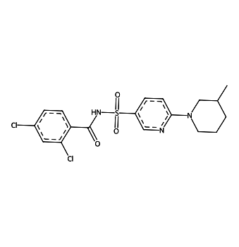 CC1CCCN(c2ccc(S(=O)(=O)NC(=O)c3ccc(Cl)cc3Cl)cn2)C1